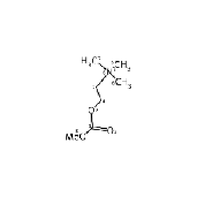 COC(=O)OCC[N+](C)(C)C